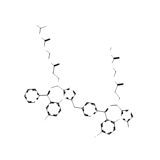 COC(=O)OCOC(=O)CC[C@@H]1N=C(c2ccc(Cc3cnc4n3-c3ccc(Br)cc3C(c3ccccn3)=N[C@H]4CCC(=O)OCOC(=O)OC(C)C)cn2)c2cc(Br)ccc2-n2c(C)cnc21